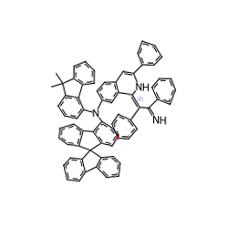 CC1(C)c2ccccc2-c2c(N(c3ccc4c(c3)/C(=C(/C(=N)c3ccccc3)c3ccccc3)NC(c3ccccc3)=C4)c3cccc4c3-c3ccccc3C43c4ccccc4-c4ccccc43)cccc21